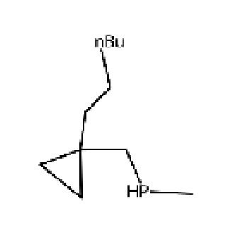 CCCCCCC1(CPC)CC1